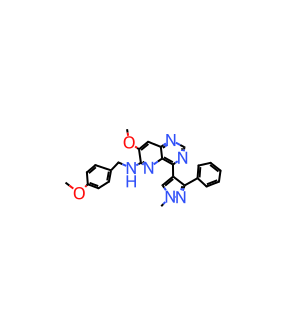 COc1ccc(CNc2nc3c(-c4cn(C)nc4-c4ccccc4)ncnc3cc2OC)cc1